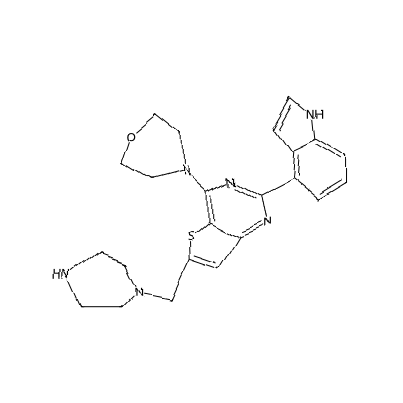 c1cc(-c2nc(N3CCOCC3)c3sc(CN4CCNCC4)cc3n2)c2cc[nH]c2c1